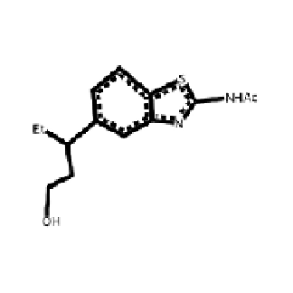 CCC(CCO)c1ccc2sc(NC(C)=O)nc2c1